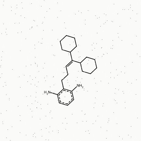 Nc1cccc(N)c1CCC=C(C1CCCCC1)C1CCCCC1